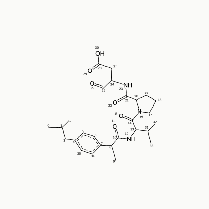 CC(C)Cc1ccc(C(C)C(=O)NC(C(=O)N2CCCC2C(=O)NC(C=O)CC(=O)O)C(C)C)cc1